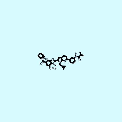 C=C(C)C(=O)Nc1cccc(-c2ccc3cc(-c4nc5cc(C(=O)N6CC7CCC6C7N)cc(OC)c5n4C)n(CC4CC4)c3n2)c1